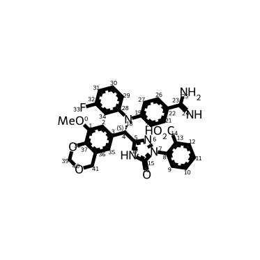 COc1cc([C@@H](c2nn(-c3ccccc3C(=O)O)c(=O)[nH]2)N(c2ccc(C(=N)N)cc2)c2cccc(F)c2)cc2c1OCOC2